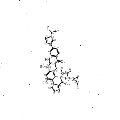 CCNC(=N)N(C(=O)c1ccc(-c2cnn(C(F)F)c2)cc1)[C@H](COC(=O)N[C@@H]1C[C@H]1F)c1ccc(Cl)c(-n2ncnc2C(F)F)c1